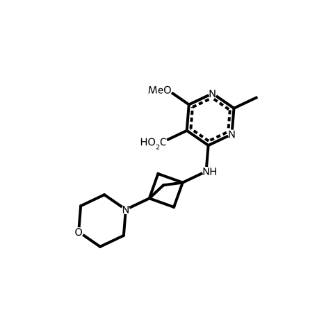 COc1nc(C)nc(NC23CC(N4CCOCC4)(C2)C3)c1C(=O)O